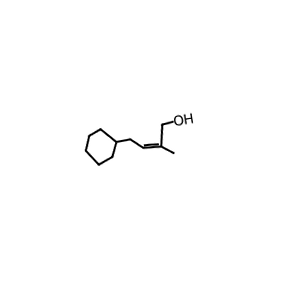 CC(=CCC1CCCCC1)CO